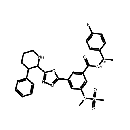 C[C@@H](NC(=O)c1cc(-c2nnc(C3NCCCC3c3ccccc3)o2)cc(N(C)S(C)(=O)=O)c1)c1ccc(F)cc1